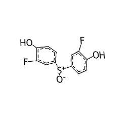 [O-][S+](c1ccc(O)c(F)c1)c1ccc(O)c(F)c1